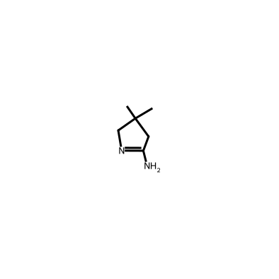 CC1(C)CN=C(N)C1